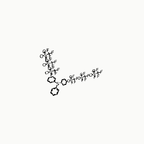 O=S(=O)(F)C(F)(F)F.O=S(=O)(F)C(F)(F)F.O=S(=O)(F)C(F)(F)F.O=S(=O)(F)C(F)(F)F.O=S(=O)(F)C(F)(F)F.O=S(=O)(F)C(F)(F)F.c1ccc([S+](c2ccccc2)c2ccccc2)cc1